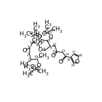 C[C@@H]([C@@H]1O[C@H]1C[C@@H]1OC[C@H](CC(=O)CC(=O)c2ccoc2)[C@@H](O[Si](C)(C)C)[C@@H]1O[Si](C)(C)C)[C@H](C)O[Si](C)(C)C